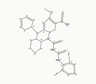 COC1=C(C(=O)O)CC(N(C(=O)NC(=O)Nc2c(F)cccc2F)C2CCCCC2)C(OC2C=CC=CC2)=C1